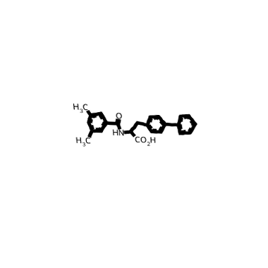 Cc1cc(C)cc(C(=O)NC(Cc2ccc(-c3ccccc3)cc2)C(=O)O)c1